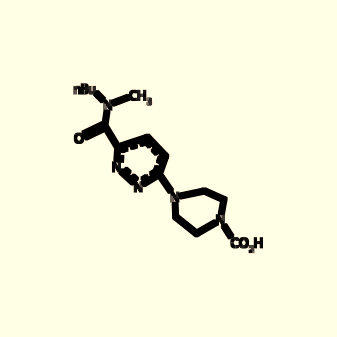 CCCCN(C)C(=O)c1ccc(N2CCN(C(=O)O)CC2)nn1